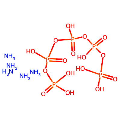 N.N.N.N.N.O=P(O)(O)OP(=O)(O)OP(=O)(O)OP(=O)(O)OP(=O)(O)O